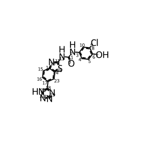 O=C(Nc1ccc(O)c(Cl)c1)Nc1nc2ccc(-c3nnn[nH]3)cc2s1